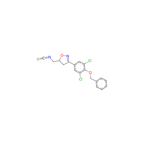 S=C=NCC1CC(c2cc(Cl)c(OCc3ccccc3)c(Cl)c2)=NO1